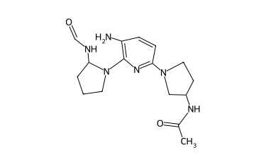 CC(=O)NC1CCN(c2ccc(N)c(N3CCCC3NC=O)n2)C1